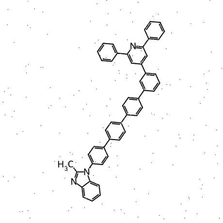 Cc1nc2ccccc2n1-c1ccc(-c2ccc(-c3ccc(-c4cccc(-c5cc(-c6ccccc6)nc(-c6ccccc6)c5)c4)cc3)cc2)cc1